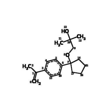 C=C(C)c1ccc(C2(OCC(C)(C)O)CCCC2)cc1